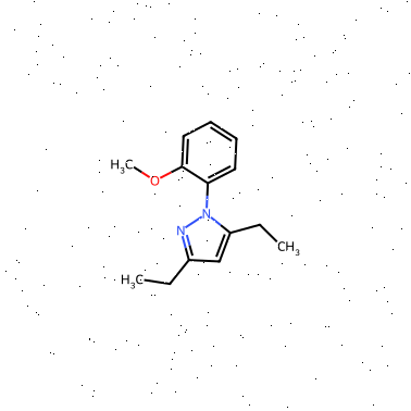 CCc1cc(CC)n(-c2ccccc2OC)n1